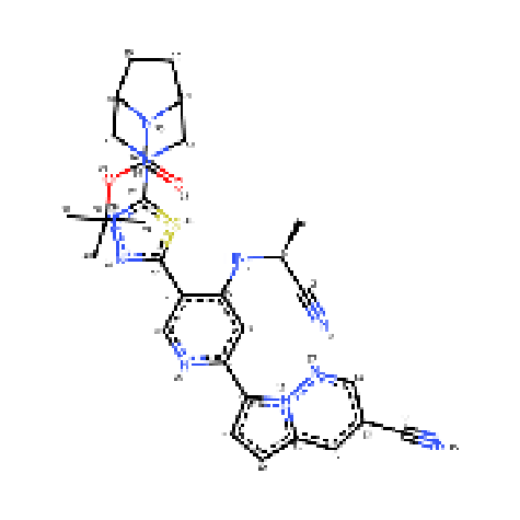 C[C@@H](C#N)Nc1cc(-c2ccc3cc(C#N)cnn23)ncc1-c1nnc(N2CC3CCC(C2)N3C(=O)OC(C)(C)C)s1